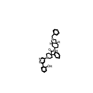 O=C(NC1CC[C@H]2CN(Cc3ccccc3)C[C@H]2C1)C1(c2ccccc2)CCN(c2cnnc(-c3ccccc3O)c2)CC1